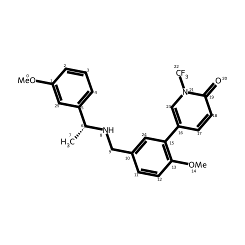 COc1cccc([C@@H](C)NCc2ccc(OC)c(-c3ccc(=O)n(C(F)(F)F)c3)c2)c1